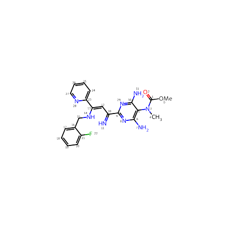 COC(=O)N(C)c1c(N)nc(C(=N)/C=C(\NCc2ccccc2F)c2ccccn2)nc1N